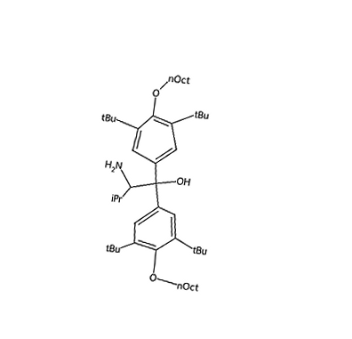 CCCCCCCCOc1c(C(C)(C)C)cc(C(O)(c2cc(C(C)(C)C)c(OCCCCCCCC)c(C(C)(C)C)c2)C(N)C(C)C)cc1C(C)(C)C